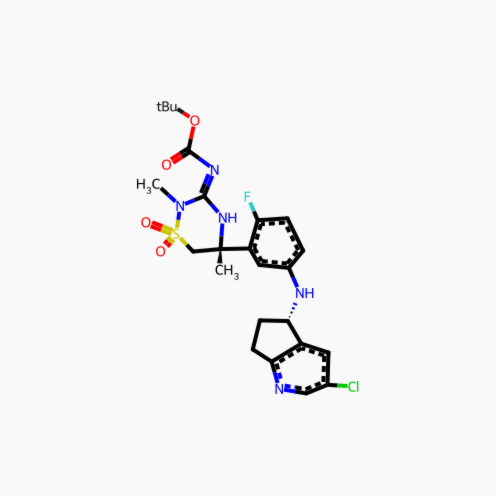 CN1/C(=N\C(=O)OC(C)(C)C)N[C@](C)(c2cc(N[C@H]3CCc4ncc(Cl)cc43)ccc2F)CS1(=O)=O